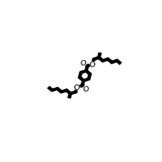 CCCCCC(C)COC(=O)C1CCC(C(=O)OCC(C)CCCCC)CC1